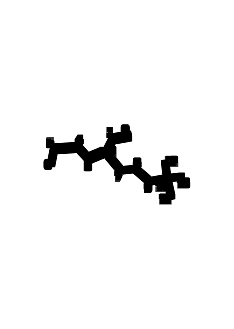 C=C/C(=C\C=C/C)CCCC(C)(C)C